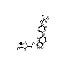 O=C1CC(COc2noc3ccc(-c4ccc(OC(F)(F)F)cc4)cc23)CN1